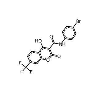 O=C(Nc1ccc(Br)cc1)c1c(O)c2ccc(C(F)(F)F)cc2oc1=O